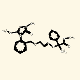 COC(=O)C(C)(O/N=C/COCc1ccccc1-n1c(OC)nn(C)c1=O)c1ccccc1